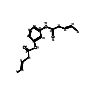 C/C=C/CC(=O)Oc1cccc(OC(=O)C/C=C/C)c1